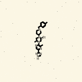 CC[C@H]1CN(c2ncc(-c3nc[nH]n3)nc2C)C(C)CN1C1CCN(Cc2ccc(C)cc2)CC1